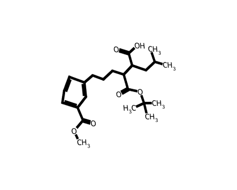 COC(=O)c1cccc(CCCC(C(=O)OC(C)(C)C)C(CC(C)C)C(=O)O)c1